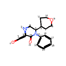 O=C=C1[N]CC(C2CCOCC2)N(c2ccccc2)C1=O